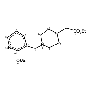 CCOC(=O)CC1CCN(Cc2cccnc2OC)CC1